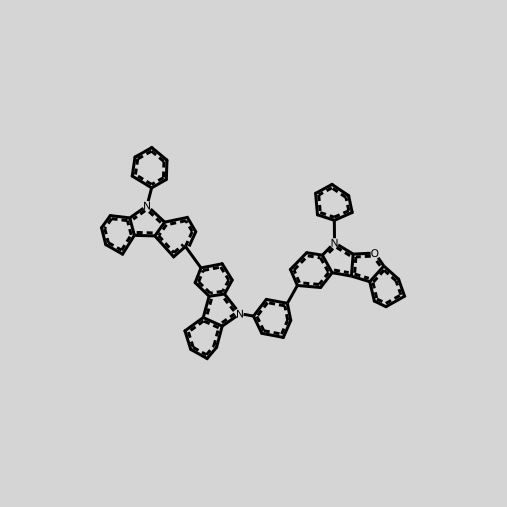 c1ccc(-n2c3ccccc3c3cc(-c4ccc5c(c4)c4ccccc4n5-c4cccc(-c5ccc6c(c5)c5c7ccccc7oc5n6-c5ccccc5)c4)ccc32)cc1